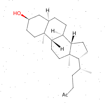 CC(=O)CC[C@@H](C)[C@H]1CC[C@H]2[C@@H]3CC[C@@H]4C[C@H](O)CC[C@]4(C)[C@H]3CC[C@]12C